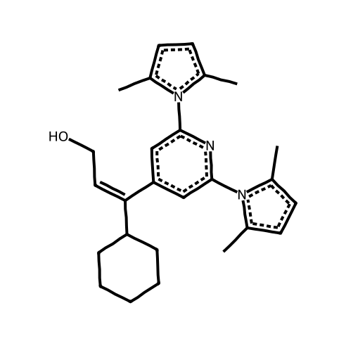 Cc1ccc(C)n1-c1cc(/C(=C\CO)C2CCCCC2)cc(-n2c(C)ccc2C)n1